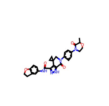 CC1OCCN(c2ccc(N3CC4(CC4)c4c(C(=O)Nc5ccc6c(c5)CCO6)n[nH]c4C3=O)cc2)C1=O